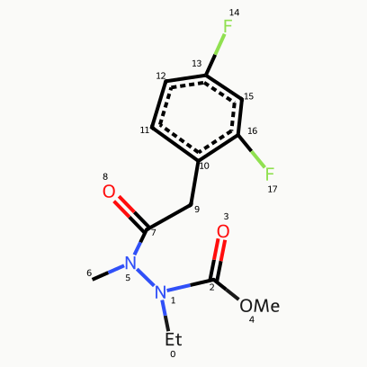 CCN(C(=O)OC)N(C)C(=O)Cc1ccc(F)cc1F